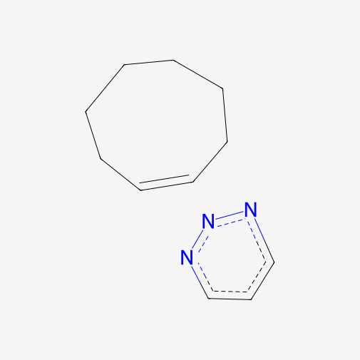 C1=CCCCCCC1.c1cnnnc1